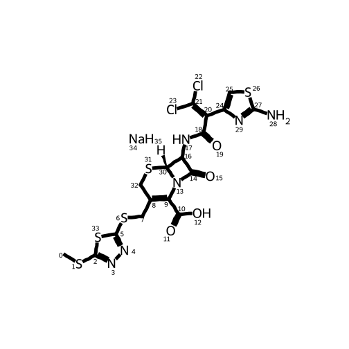 CSc1nnc(SCC2=C(C(=O)O)N3C(=O)C(NC(=O)C(=C(Cl)Cl)c4csc(N)n4)[C@H]3SC2)s1.[NaH]